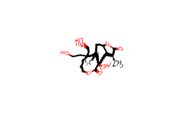 C[C@@H]1C(=O)OC2CC3(C)C(CO)(CCO)CCCOC(=O)C3(O)C21